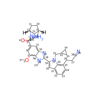 COc1cc(C(=O)N2C[C@H]3CC[C@@H]2[C@@H]3N)cc2nc(-c3cc4cccc(CCC#N)c4n3CC3CC3)n(C)c12